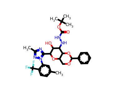 Cc1ccc(C(F)(F)F)c(-n2nc(C)nc2C2OC3COC(c4ccccc4)OC3C(NNC(=O)OC(C)(C)C)C2O)c1